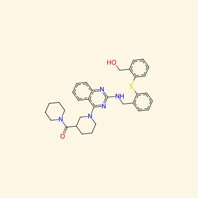 O=C(C1CCCN(c2nc(NCc3ccccc3Sc3ccccc3CO)nc3ccccc23)C1)N1CCCCC1